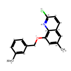 COc1cccc(COc2cc(C)cc3ccc(Cl)nc23)c1